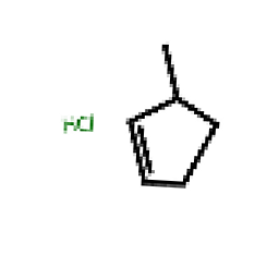 CC1C=CCC1.Cl